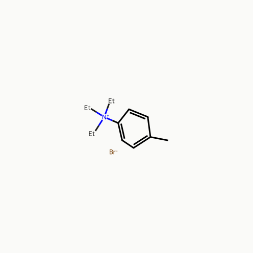 CC[N+](CC)(CC)c1ccc(C)cc1.[Br-]